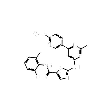 COc1ccc(-c2cc(Nc3ncc(C(=O)Nc4c(C)cccc4Cl)s3)nc(C)n2)cn1